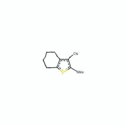 CNc1sc2c(c1C#N)CCCC2